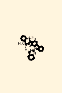 CN1c2ccccc2C(C)(C)c2sc3c(ccc4c5ccccc5n(-c5ncc6ccccc6n5)c43)c21